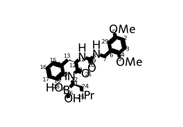 COc1ccc(OC)c(CNC(=O)N[C@@H](Cc2ccccc2)C(=O)N[C@@H](CC(C)C)B(O)O)c1